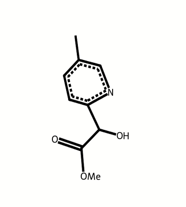 COC(=O)C(O)c1ccc(C)cn1